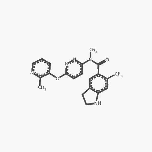 Cc1ncccc1Oc1ccc(N(C)C(=O)c2cc3c(cc2C(F)(F)F)NCC3)nn1